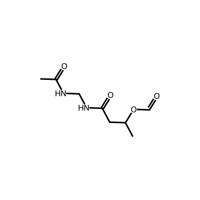 CC(=O)NCNC(=O)CC(C)OC=O